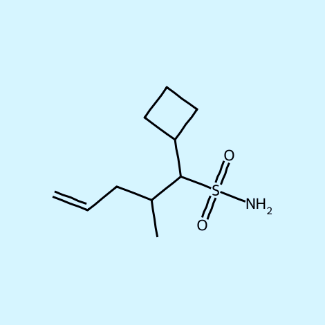 C=CCC(C)C(C1CCC1)S(N)(=O)=O